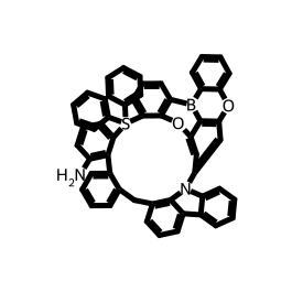 Nc1cccc2c1-c1ccccc1Cc1cccc3c4ccccc4n(c13)-c1cc3c4c(c1)Oc1c(cccc1S2(c1ccccc1)c1ccccc1)B4c1ccccc1O3